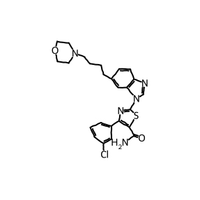 NC(=O)c1sc(-n2cnc3ccc(CCCCN4CCOCC4)cc32)nc1-c1cccc(Cl)c1